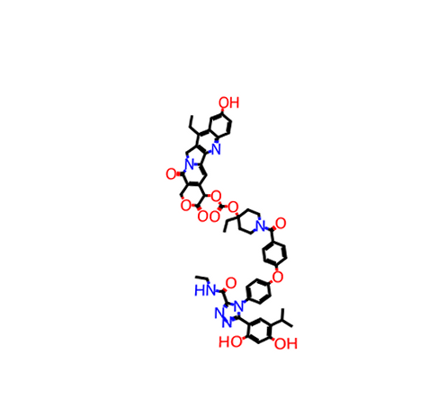 CCNC(=O)c1nnc(-c2cc(C(C)C)c(O)cc2O)n1-c1ccc(Oc2ccc(C(=O)N3CCC(CC)(OC(=O)OC4C(=O)OCc5c4cc4n(c5=O)Cc5c-4nc4ccc(O)cc4c5CC)CC3)cc2)cc1